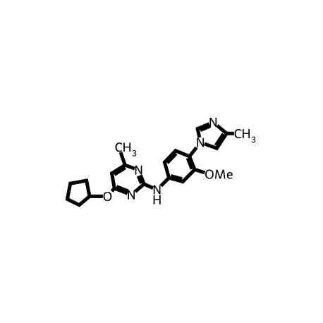 COc1cc(Nc2nc(C)cc(OC3CCCC3)n2)ccc1-n1cnc(C)c1